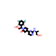 CC(CO)Nc1nccc(-c2ccn(C(CO)c3cc(F)cc(F)c3)c(=O)c2)n1